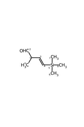 CC(C=O)C=C[Si](C)(C)C